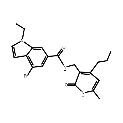 CCCc1cc(C)[nH]c(=O)c1CNC(=O)c1cc(Br)c2ccn(CC)c2c1